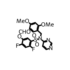 COc1ccc(CN(c2ccncn2)S(=O)(=O)c2cc(OC=O)c(F)cc2F)c(OC)c1